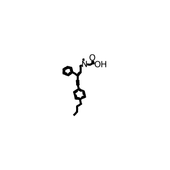 CCCCc1ccc(C#CC(=CCN(C)CC(=O)O)c2ccccc2)cc1